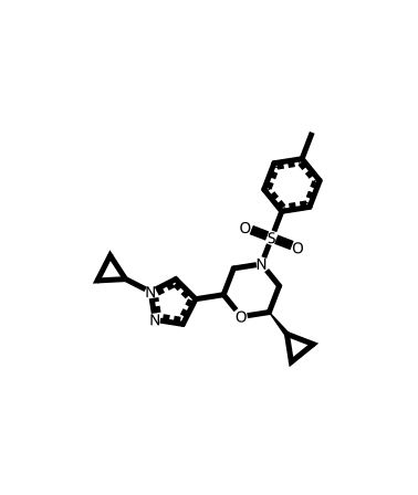 Cc1ccc(S(=O)(=O)N2CC(c3cnn(C4CC4)c3)O[C@H](C3CC3)C2)cc1